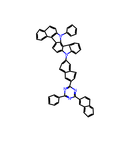 c1ccc(-c2nc(-c3ccc4ccccc4c3)nc(-c3ccc4cc(-n5c6ccccc6c6c5ccc5c7c8ccccc8ccc7n(-c7ccccc7)c56)ccc4c3)n2)cc1